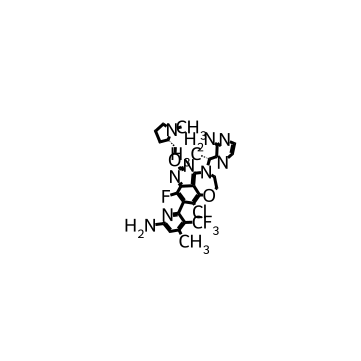 Cc1cc(N)nc(-c2c(Cl)c3c4c(nc(OC[C@@H]5CCCN5C)nc4c2F)N([C@H](C)c2nccnc2N)CCO3)c1C(F)(F)F